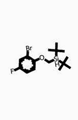 CC(C)(C)[SiH](COc1ccc(F)cc1Br)C(C)(C)C